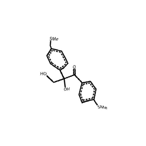 CSc1ccc(C(=O)C(O)(CO)c2ccc(SC)cc2)cc1